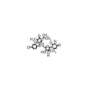 CC(C)OC(=O)[C@H](C)NP(=S)(OC[C@H]1O[C@@H](n2ccc(=O)[nH]c2=O)[C@](C)(O)[C@@H]1O)Oc1ccc(Cl)cc1